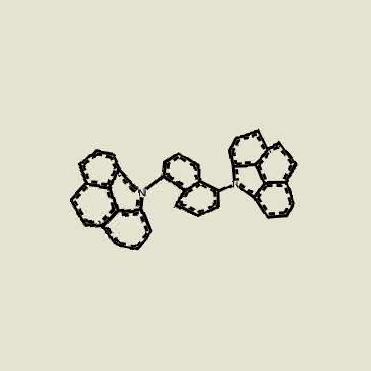 c1cc(-n2c3cccc4ccc5cccc2c5c43)c2cccc(-n3c4cccc5ccc6cccc3c6c54)c2c1